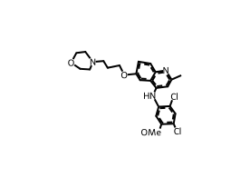 COc1cc(Nc2cc(C)nc3ccc(OCCCN4CCOCC4)cc23)c(Cl)cc1Cl